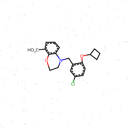 O=C(O)c1cccc2c1OCCN2Cc1cc(Cl)ccc1OC1CCC1